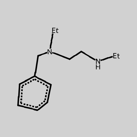 CCNCCN(CC)Cc1ccccc1